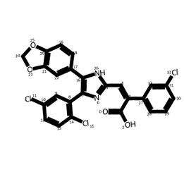 O=C(O)C(=Cc1nc(-c2cc(Cl)ccc2Cl)c(-c2ccc3c(c2)OCO3)[nH]1)c1cccc(Cl)c1